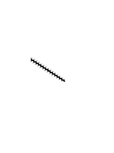 CCCCCCCCCCCCCC/C=C/CCCCCCCCCCCCCC